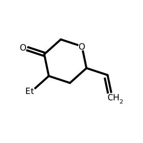 C=CC1CC(CC)C(=O)CO1